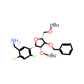 CCCCOC[C@H]1O[C@@H](c2cc(CN)c(F)cc2F)[C@@H](OCCCC)C1OCc1ccccc1